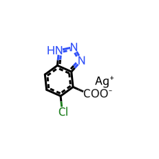 O=C([O-])c1c(Cl)ccc2[nH]nnc12.[Ag+]